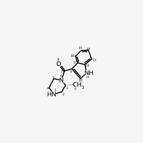 C[C@@H]1CNCCN1C(=O)c1c[nH]c2ccccc12